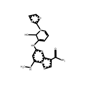 CNc1cc(NC2=CC=CN(c3ncco3)C2O)nc2c(C(N)=O)cnn12